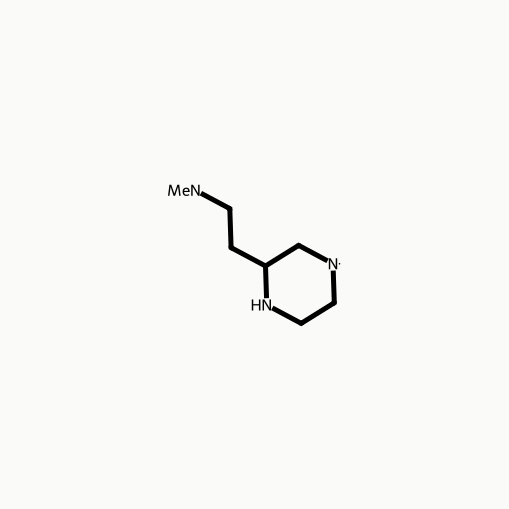 CNCCC1C[N]CCN1